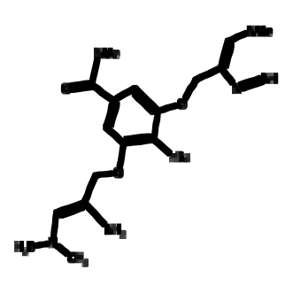 BN(C)/C=C(\N)COc1cc(C(=O)NC)cc(OC/C(=C/NC)N=N)c1CCCC